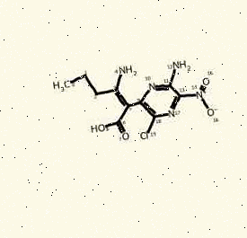 CCCC(N)=C(C(=O)O)c1nc(N)c([N+](=O)[O-])nc1Cl